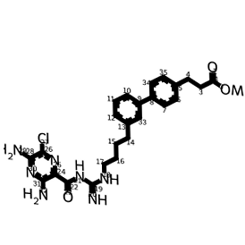 COC(=O)CCc1ccc(-c2cccc(CCCCNC(=N)NC(=O)c3nc(Cl)c(N)nc3N)c2)cc1